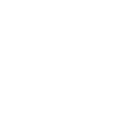 CC(=O)OCC(Cl)C(=O)c1ccccc1